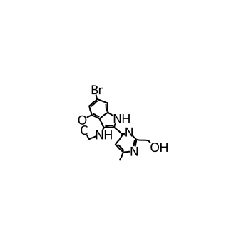 Cc1cc(-c2[nH]c3cc(Br)cc4c3c2NCCO4)nc(CO)n1